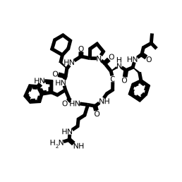 CC(C)CC(=O)N[C@@H](Cc1ccccc1)C(=O)N[C@H]1CCCNC(=O)C(CCCNC(=N)N)NC(=O)C(Cc2c[nH]c3ccccc23)NC(=O)[C@@H](CC2CCCCC2)NC(=O)C2CCCN2C1=O